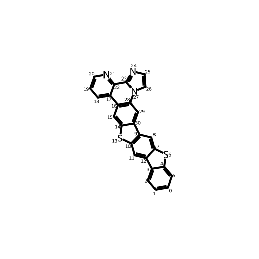 c1ccc2c(c1)sc1cc3c(cc12)sc1cc2c4cccnc4c4nccn4c2cc13